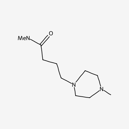 CNC(=O)CCCN1CCN(C)CC1